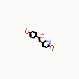 COc1ccc(C(=O)Cc2ccc(OC)nc2)cc1